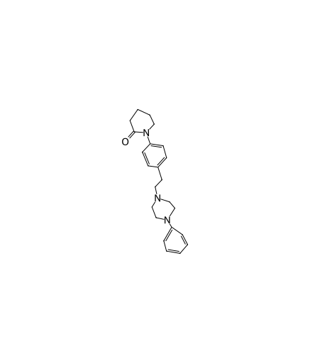 O=C1CCCCN1c1ccc(CCN2CCN(c3ccccc3)CC2)cc1